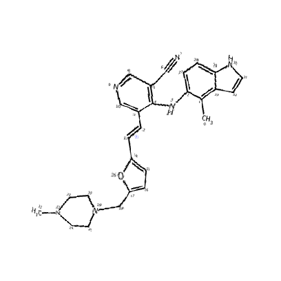 Cc1c(Nc2c(C#N)cncc2/C=C/c2ccc(CN3CCN(C)CC3)o2)ccc2[nH]ccc12